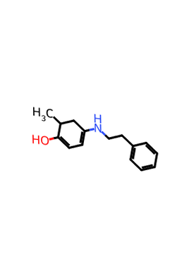 CC1CC(NCCc2ccccc2)=CC=C1O